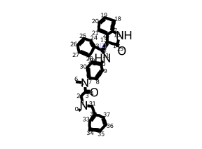 CN(CC(=O)N(C)c1ccc(N/C(=C2\C(=O)Nc3ccccc32)c2ccccc2)cc1)Cc1ccccc1